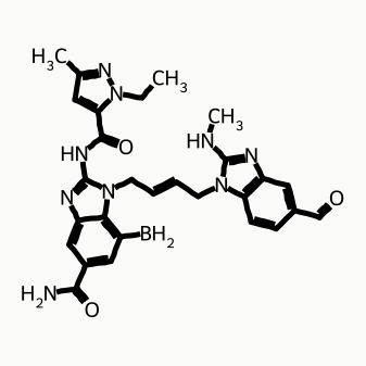 Bc1cc(C(N)=O)cc2nc(NC(=O)c3cc(C)nn3CC)n(C/C=C/Cn3c(NC)nc4cc(C=O)ccc43)c12